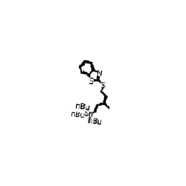 CCC[CH2][Sn]([CH]=CC(C)=CCSc1nc2ccccc2s1)([CH2]CCC)[CH2]CCC